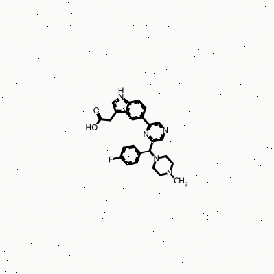 CN1CCN([C@@H](c2ccc(F)cc2)c2cncc(-c3ccc4[nH]cc(CC(=O)O)c4c3)n2)CC1